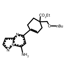 CCCCOCC1(C(=O)OCC)CC=C(c2cc(N)n3nccc3n2)CC1